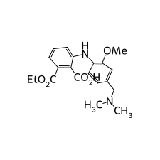 CCOC(=O)c1cccc(Nc2ccc(CN(C)C)cc2OC)c1C(=O)O